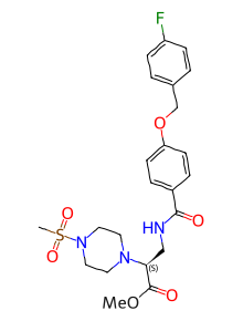 COC(=O)[C@H](CNC(=O)c1ccc(OCc2ccc(F)cc2)cc1)N1CCN(S(C)(=O)=O)CC1